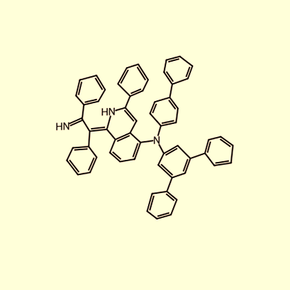 N=C(/C(=C1\NC(c2ccccc2)=Cc2c1cccc2N(c1ccc(-c2ccccc2)cc1)c1cc(-c2ccccc2)cc(-c2ccccc2)c1)c1ccccc1)c1ccccc1